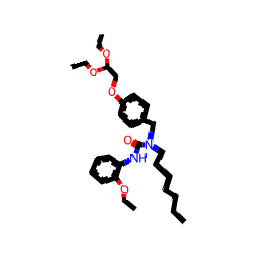 CCCCCCCN(Cc1ccc(OCC(OCC)OCC)cc1)C(=O)Nc1ccccc1OCC